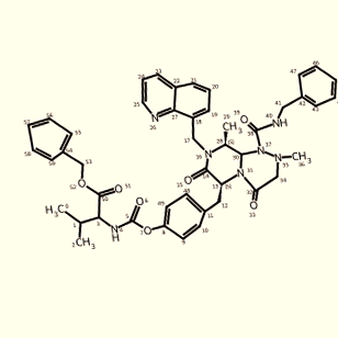 CC(C)C(NC(=O)Oc1ccc(C[C@H]2C(=O)N(Cc3cccc4cccnc34)[C@@H](C)C3N2C(=O)CN(C)N3C(=O)NCc2ccccc2)cc1)C(=O)OCc1ccccc1